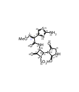 CO/N=C(\C(=O)N[C@@H]1C(=O)N(S(=O)(=O)O)[C@@H]1N1C(=O)CNC1=O)c1csc(N)n1